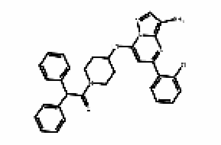 Bc1cnn2c(NC3CCN(C(=O)C(c4ccccc4)c4ccccc4)CC3)cc(-c3ccccc3Cl)nc12